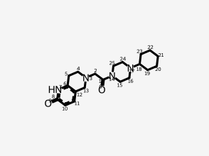 O=C(CN1CCc2[nH]c(=O)ccc2C1)N1CCN(C2CCCCC2)CC1